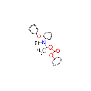 CCN(c1ccccc1Oc1ccccc1)C(C)OC(=O)Oc1ccccc1